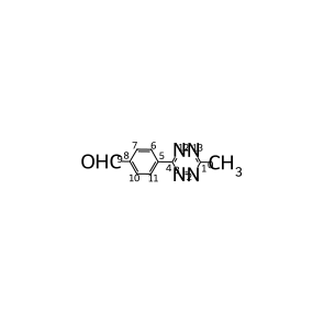 Cc1nnc(-c2ccc(C=O)cc2)nn1